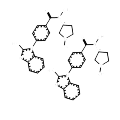 Cc1nc2ccccc2n1-c1ccc(C(=O)N(C)[C@@H]2CCN(C(C)C)C2)cc1.Cc1nc2ccccc2n1-c1ccc(C(=O)N(C)[C@@H]2CCN(C)C2)cc1